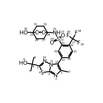 Cc1nc2sc(C(C)(C)O)nn2c1-c1ccc(C(F)(F)F)c(S(=O)(=O)NC23CCC(O)(CC2)CC3)c1